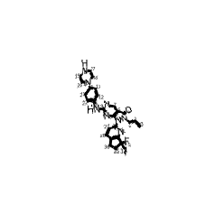 C=CCn1c(=O)c2cnc(Nc3ccc(N4CCNCC4)cc3)nc2n1-c1ccc2c(n1)C(F)(I)CC2